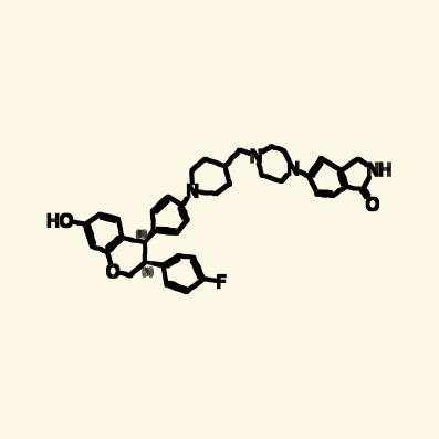 O=C1NCc2cc(N3CCN(CC4CCN(c5ccc([C@@H]6c7ccc(O)cc7OC[C@@H]6c6ccc(F)cc6)cc5)CC4)CC3)ccc21